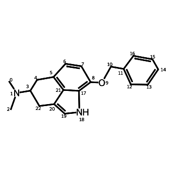 CN(C)C1Cc2ccc(OCc3ccccc3)c3[nH]cc(c23)C1